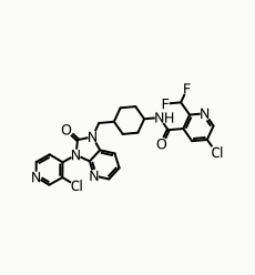 O=C(NC1CCC(Cn2c(=O)n(-c3ccncc3Cl)c3ncccc32)CC1)c1cc(Cl)cnc1C(F)F